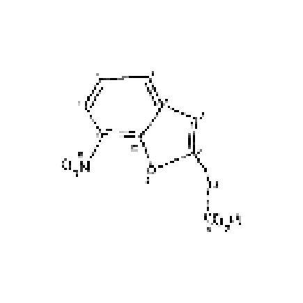 O=C(O)Cc1cc2cccc([N+](=O)[O-])c2o1